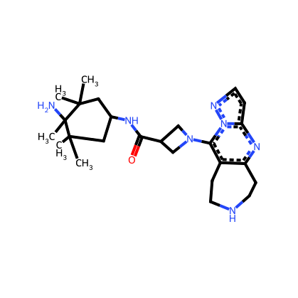 CC1(C)CC(NC(=O)C2CN(c3c4c(nc5ccnn35)CCNCC4)C2)CC(C)(C)C1(C)N